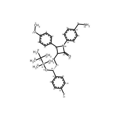 COc1ccc(C2C(CC[C@@H](O[Si](C)(C)C(C)(C)C)c3ccc(F)cc3)C(=O)N2c2ccc(CN)cc2)cc1